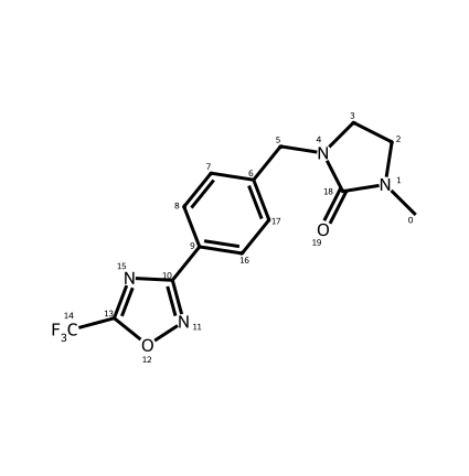 CN1CCN(Cc2ccc(-c3noc(C(F)(F)F)n3)cc2)C1=O